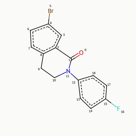 O=C1c2cc(Br)ccc2CCN1c1ccc(F)cc1